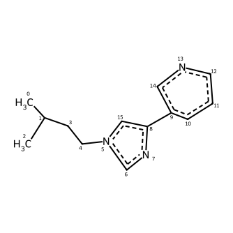 CC(C)CCn1cnc(-c2cccnc2)c1